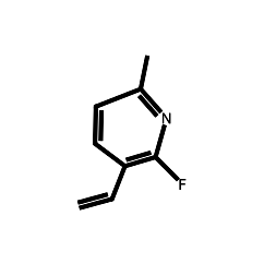 C=Cc1ccc(C)nc1F